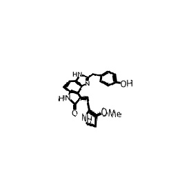 COc1cc[nH]c1/C=C1\C(=O)Nc2ccc3[nH]c(Cc4ccc(O)cc4)nc3c21